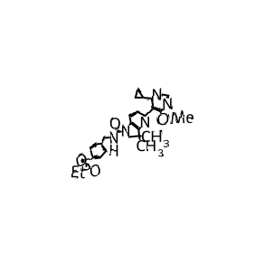 CCS(=O)(=O)c1ccc(CNC(=O)N2CC(C)(C)c3nc(-c4c(OC)ncnc4C4CC4)ccc32)cc1